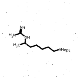 CCCCCCCCCCCCC(C)NC(=N)N